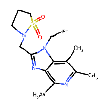 Cc1nc([AsH2])c2nc(CN3CCCS3(=O)=O)n(CC(C)C)c2c1C